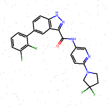 O=C(Nc1ccc(N2CCC(F)(F)C2)nc1)c1n[nH]c2ccc(-c3cccc(F)c3F)cc12